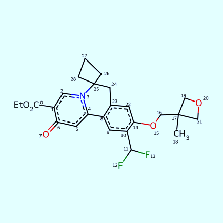 CCOC(=O)c1cn2c(cc1=O)-c1cc(C(F)F)c(OCC3(C)COC3)cc1CC21CCC1